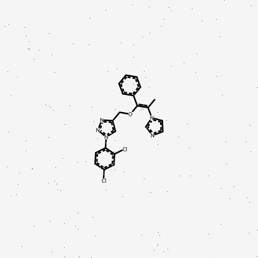 C/C(=C(/OCc1cn(-c2ccc(Cl)cc2Cl)nn1)c1ccccc1)n1ccnc1